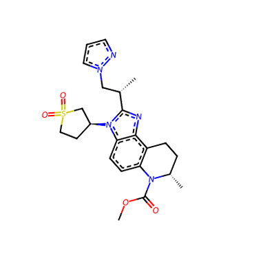 COC(=O)N1c2ccc3c(nc([C@@H](C)Cn4cccn4)n3[C@H]3CCS(=O)(=O)C3)c2CC[C@@H]1C